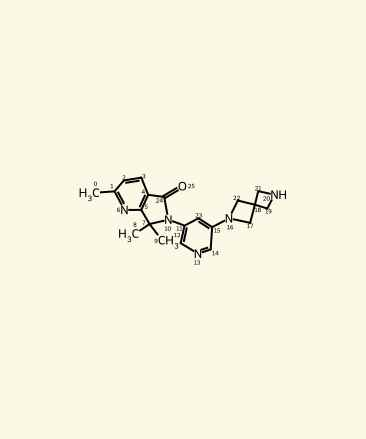 Cc1ccc2c(n1)C(C)(C)N(c1cncc(N3CC4(CNC4)C3)c1)C2=O